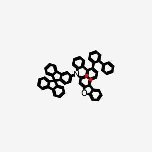 c1ccc(-c2ccccc2-c2ccccc2-c2ccccc2N(c2ccc3c(c2)-c2ccccc2C32c3ccccc3-c3ccccc32)c2ccc3c(c2)oc2ccccc23)cc1